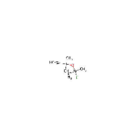 C#CC(C)(C)O[Si](C)(C)Cl